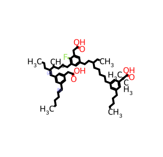 CCCC/C=C/c1cc(/C=C(/CCC)C(C)CCCc2cc(CCC(CC)CCCCCc3cc(CCCCC)cc(C(C)(C)C(=O)O)c3)cc(CC(=O)O)c2F)cc(CC(=O)O)c1